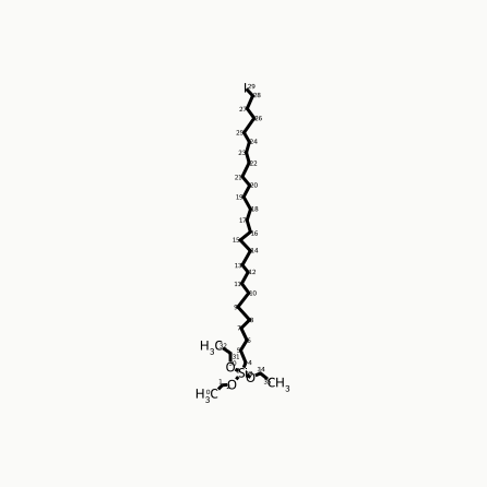 CCO[Si](CCCCCCCCCCCCCCCCCCCCCCCCCI)(OCC)OCC